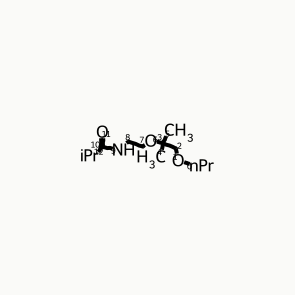 CCCOCC(C)(C)OCCNC(=O)C(C)C